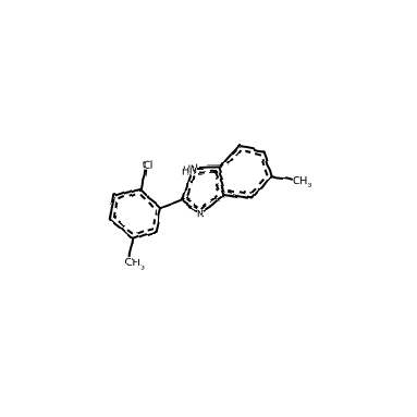 Cc1ccc(Cl)c(-c2nc3cc(C)ccc3[nH]2)c1